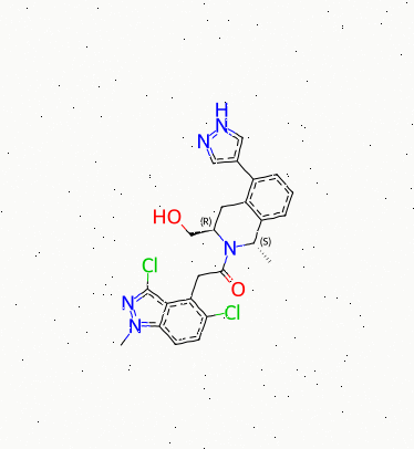 C[C@H]1c2cccc(-c3cn[nH]c3)c2C[C@H](CO)N1C(=O)Cc1c(Cl)ccc2c1c(Cl)nn2C